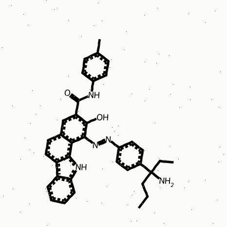 CCCC(N)(CC)c1ccc(N=Nc2c(O)c(C(=O)Nc3ccc(C)cc3)cc3ccc4c5ccccc5[nH]c4c23)cc1